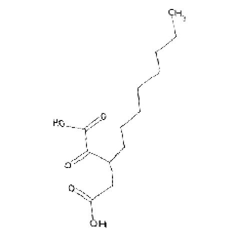 CCCCCCCCC(CC(=O)O)C(=O)C(=O)O